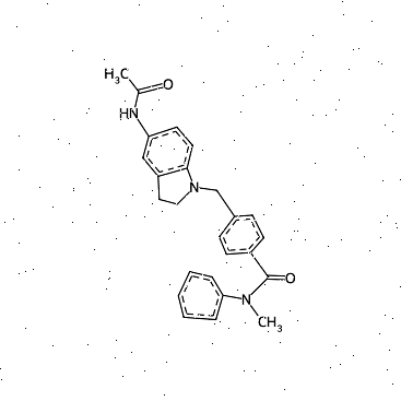 CC(=O)Nc1ccc2c(c1)CCN2Cc1ccc(C(=O)N(C)c2ccccc2)cc1